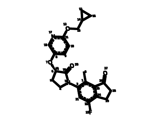 Cc1c(N2CC[C@@H](Oc3ccc(OCC4CC4)nc3)C2=O)cc(F)c2c1C(=O)CC2